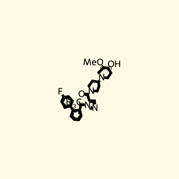 CO[C@@H]1CN(C2CCN(C(=O)c3cncn3[C@@H](C)c3ccccc3-c3ccc(F)cc3)CC2)CC[C@@H]1O